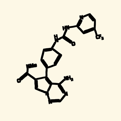 CNC(=O)c1cn2ncnc(N)c2c1-c1ccc(NC(=O)Nc2cc(C(F)(F)F)ccn2)cc1